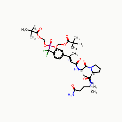 CCCC[C@H](NC(=O)/C=C(\C)c1ccc(C(F)(F)P(=O)(OCOC(=O)C(C)(C)C)OCOC(=O)C(C)(C)C)cc1)C(=O)N1CCC[C@H]1C(=O)N[C@H](C)CCC(N)=O